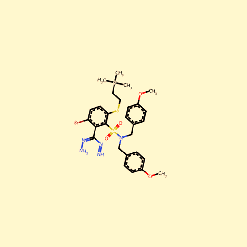 COc1ccc(CN(Cc2ccc(OC)cc2)S(=O)(=O)c2c(SCC[Si](C)(C)C)ccc(Br)c2/C(N=N)=N/N)cc1